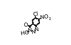 O=c1c2cc(Cl)c([N+](=O)[O-])cc2nnn1O